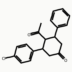 CC(=O)C1C(c2ccccc2)CC(=O)CC1c1ccc(Cl)cc1